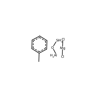 Cc1cc[c]cc1.[AlH2][O][SiH3].[Cl][Mg][Cl]